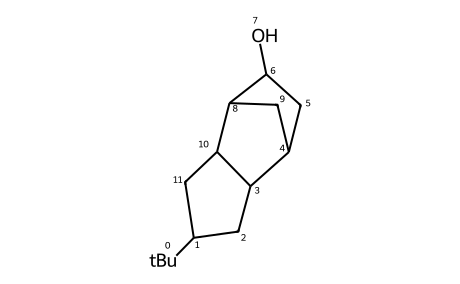 CC(C)(C)C1CC2C3CC(O)C(C3)C2C1